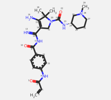 C=CC(=O)Nc1ccc(C(=O)NC(=N)C2=C(N)C(C)(C)N(C(=O)N[C@H]3CCCN(C)C3)C2)cc1